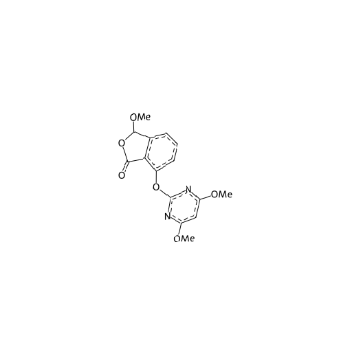 COc1cc(OC)nc(Oc2cccc3c2C(=O)OC3OC)n1